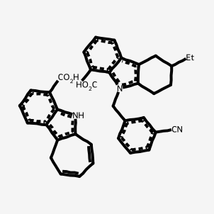 CCC1CCc2c(c3cccc(C(=O)O)c3n2Cc2cccc(C#N)c2)C1.O=C(O)c1cccc2c3c([nH]c12)C=CC=CC3